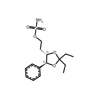 CCC1(CC)O[C@@H](CCOS(N)(=O)=O)[C@H](c2ccccc2)O1